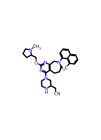 Cc1cccc2cccc(N3CCCc4c(nc(OCC5CCCN5C)nc4N4CCNC(CC#N)C4)C3)c12